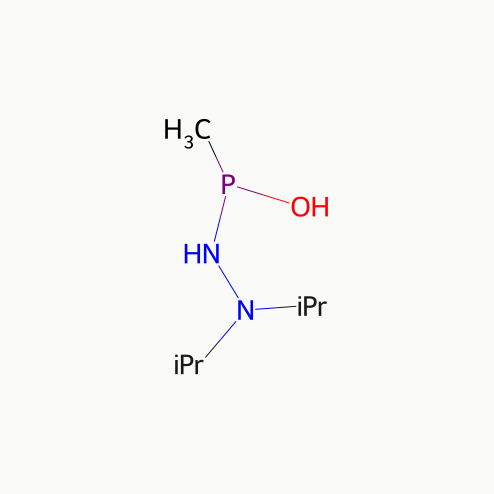 CC(C)N(NP(C)O)C(C)C